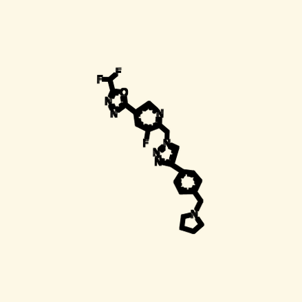 Fc1cc(-c2nnc(C(F)F)o2)cnc1Cn1cc(-c2ccc(CN3CCCC3)cc2)nn1